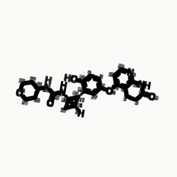 O=C1CCc2c(Oc3ccc(O)c([C@@H]4[C@@H]5C[C@@]45NC(=O)NC4CCOCC4)c3)ccnc2N1